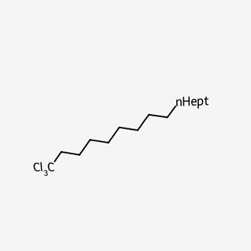 CCCCCCCCCCCCCCCC(Cl)(Cl)Cl